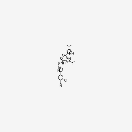 CC(C)c1cc(C(=O)n2nc(C(C)C)cc2C(=O)N[C@@H](C)Cn2ccc(-c3ccc(C#N)c(Cl)c3)n2)[nH]n1